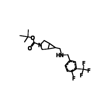 CC(C)(C)OC(=O)N1CC2C(CNCc3ccc(F)c(C(F)(F)F)c3)C2C1